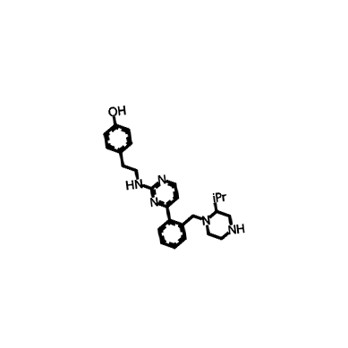 CC(C)C1CNCCN1Cc1ccccc1-c1ccnc(NCCc2ccc(O)cc2)n1